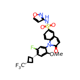 COc1cc([C@H]2C[C@@H](C(F)(F)F)C2)c(F)cc1-n1c(=O)ccc2cc(S(=O)(=O)Nc3ccon3)ccc21